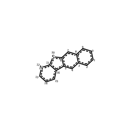 c1ccc2cc3c(cc2c1)sc1ncccc13